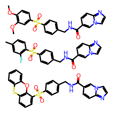 COc1ccc(S(=O)(=O)c2ccc(CNC(=O)c3ccc4nccn4c3)cc2)cc1OC.Cc1ccc(S(=O)(=O)c2ccc(CNC(=O)c3ccc4nccn4c3)cc2)c(F)c1.O=C(NCc1ccc(S(=O)(=O)c2cccc3c2Oc2ccccc2S3)cc1)c1ccc2nccn2c1